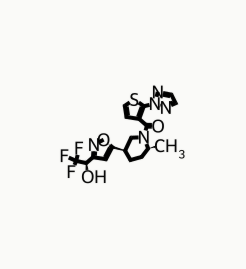 C[C@@H]1CC[C@@H](c2cc([C@@H](O)C(F)(F)F)no2)CN1C(=O)c1ccsc1-n1nccn1